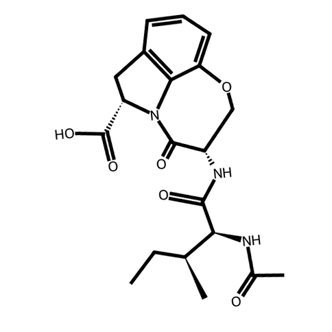 CC[C@H](C)[C@H](NC(C)=O)C(=O)N[C@H]1COc2cccc3c2N(C1=O)[C@H](C(=O)O)C3